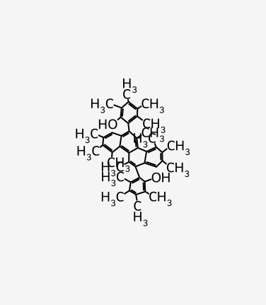 Cc1cc2c(-c3c(C)c(C)c(C)c(C)c3O)c(C)c3c4c(C)c(C)c(C)cc4c(-c4c(C)c(C)c(C)c(C)c4O)c(C)c3c2c(C)c1C